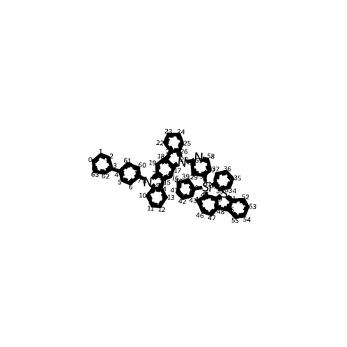 c1ccc(-c2ccc(-n3c4ccccc4c4cc5c(cc43)c3ccccc3n5-c3cc([Si](c4ccccc4)(c4ccccc4)c4cccc5c4sc4ccccc45)ccn3)cc2)cc1